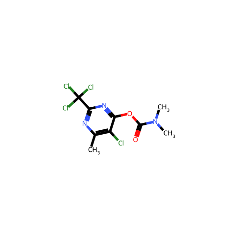 Cc1nc(C(Cl)(Cl)Cl)nc(OC(=O)N(C)C)c1Cl